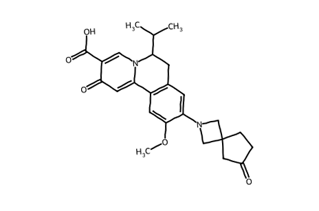 COc1cc2c(cc1N1CC3(CCC(=O)C3)C1)CC(C(C)C)n1cc(C(=O)O)c(=O)cc1-2